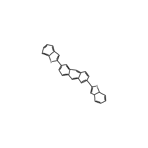 C1=CC2C=C(c3ccc4cc5cc(-c6cc7ccccc7s6)ccc5cc4c3)SC2C=C1